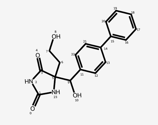 O=C1NC(=O)C(CCO)(C(O)c2ccc(-c3ccccc3)cc2)N1